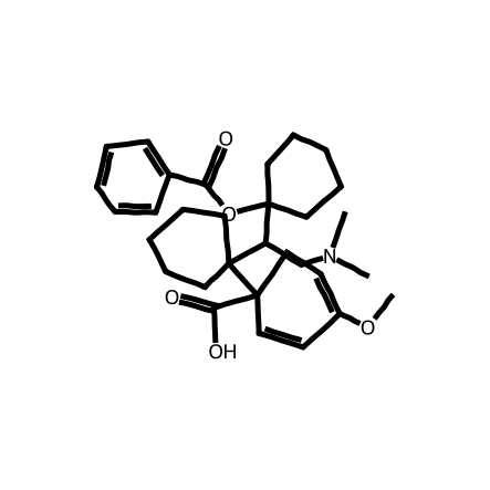 COC1=CCC(C(=O)O)(C2(C(CN(C)C)C3(OC(=O)c4ccccc4)CCCCC3)CCCCC2)C=C1